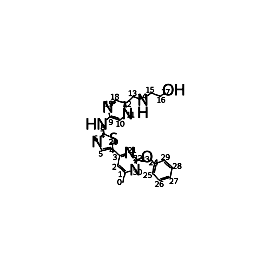 Cc1cc(-c2cnc(Nc3cnc(CNCCO)cn3)s2)nc(Oc2ccccc2)n1